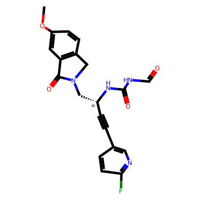 COc1ccc2c(c1)C(=O)N(C[C@@H](C#Cc1ccc(F)nc1)NC(=O)NC=O)C2